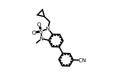 CN1c2cc(-c3cccc(C#N)c3)ccc2N(CC2CC2)S1(=O)=O